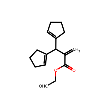 C=C(C(=O)OCC=O)C(C1=CCCC1)C1=CCCC1